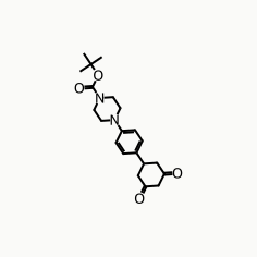 CC(C)(C)OC(=O)N1CCN(c2ccc(C3CC(=O)CC(=O)C3)cc2)CC1